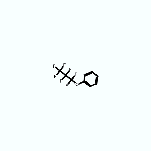 FC(F)(F)C(F)(F)C(F)(F)Oc1[c]cccc1